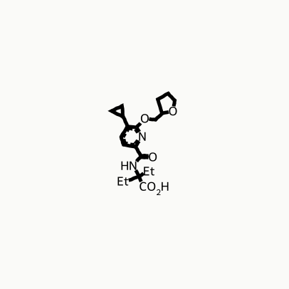 CCC(CC)(NC(=O)c1ccc(C2CC2)c(OCC2CCCO2)n1)C(=O)O